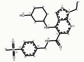 CCn1ncc2c(NC3CCCC(O)C3)c(C(=O)NCc3ccc(S(C)(=O)=O)cc3)cnc21